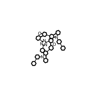 c1ccc(-c2ccc(-n3c4ccccc4c4cc(-c5ccc6oc7cccc(-c8nc(-c9ccccc9)nc(-c9cccc%10oc%11ccc(-c%12ccc%13c(c%12)c%12ccccc%12n%13-c%12cccc(-c%13ccccc%13)c%12)cc%11c9%10)n8)c7c6c5)ccc43)cc2)cc1